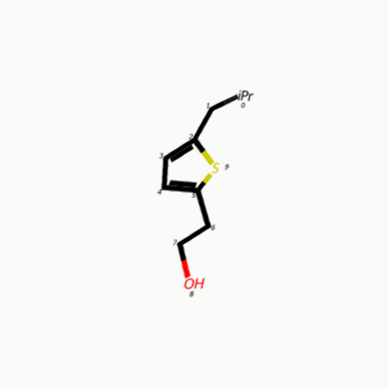 CC(C)Cc1ccc(CCO)s1